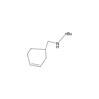 [CH2-][CH+]CCNCC1CC=CCC1